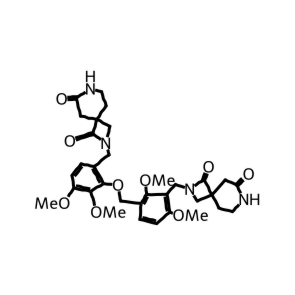 COc1ccc(COc2c(CN3CC4(CCNC(=O)C4)C3=O)ccc(OC)c2OC)c(OC)c1CN1CC2(CCNC(=O)C2)C1=O